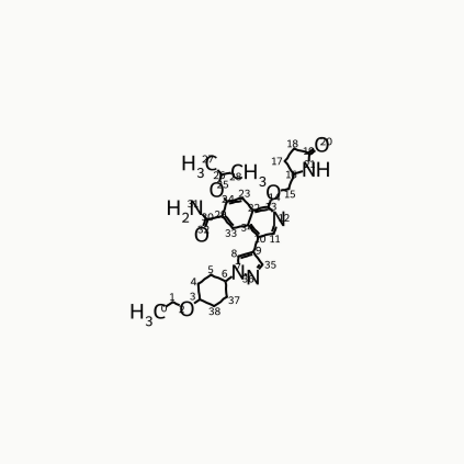 CCOC1CCC(n2cc(-c3cnc(OCC4CCC(=O)N4)c4cc(OC(C)C)c(C(N)=O)cc34)cn2)CC1